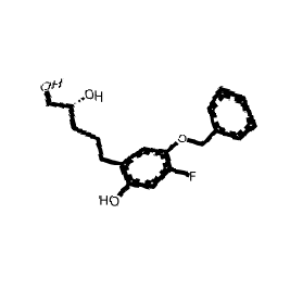 OC[C@H](O)CCCc1cc(OCc2ccccc2)c(F)cc1O